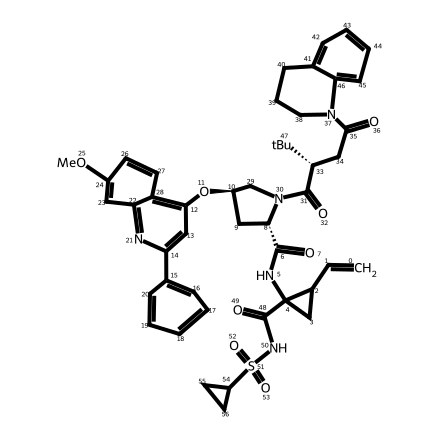 C=CC1CC1(NC(=O)[C@@H]1C[C@@H](Oc2cc(-c3ccccc3)nc3cc(OC)ccc23)CN1C(=O)[C@@H](CC(=O)N1CCCc2ccccc21)C(C)(C)C)C(=O)NS(=O)(=O)C1CC1